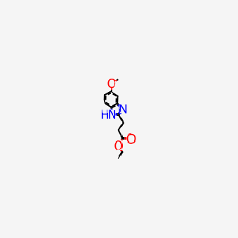 CCOC(=O)CCc1nc2cc(OC)ccc2[nH]1